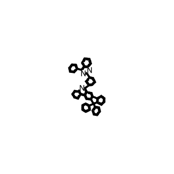 c1ccc(-c2nc(-c3cccc(-c4nc5ccccc5c5cc6c(cc45)-c4ccccc4C6(c4ccccc4)c4ccccc4)c3)nc3ccccc23)cc1